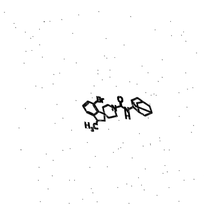 CC1CC2(CCN(C(=O)NC3C4CC5CC(C4)CC3C5)CC2)c2c(Br)cccc21